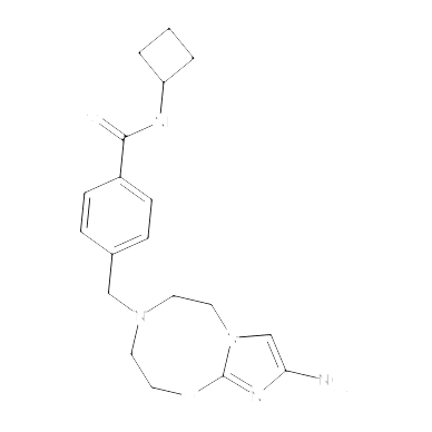 O=C(NC1CCC1)c1ccc(CN2CCOc3nc([N+](=O)[O-])cn3CC2)cc1